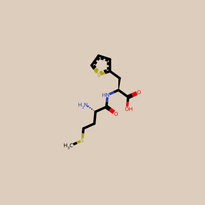 CSCC[C@H](N)C(=O)N[C@@H](Cc1cccs1)C(=O)O